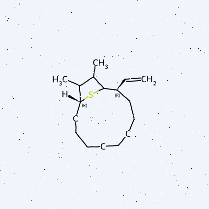 C=C[C@H]1CCCCCCCC[C@H]2SC1C(C)C2C